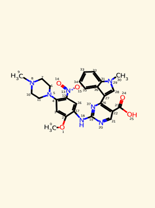 COc1cc(N2CCN(C)CC2)c([N+](=O)[O-])cc1Nc1ncc(C(=O)O)c(-c2cn(C)c3ccccc23)n1